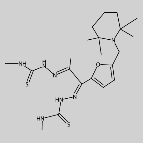 CNC(=S)N/N=C(C)/C(=N\NC(=S)NC)c1ccc(CN2C(C)(C)CCCC2(C)C)o1